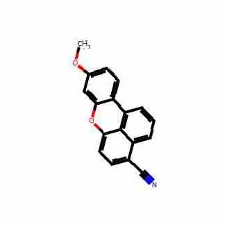 COc1ccc2c(c1)Oc1ccc(C#N)c3cccc-2c13